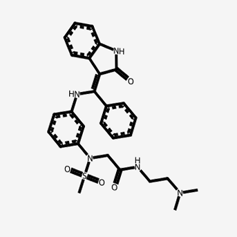 CN(C)CCNC(=O)CN(c1cccc(NC(=C2C(=O)Nc3ccccc32)c2ccccc2)c1)S(C)(=O)=O